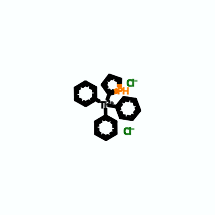 [Cl-].[Cl-].c1cc[c]([Ti+2]([c]2ccccc2)([c]2ccccc2)[c]2ccc[pH]2)cc1